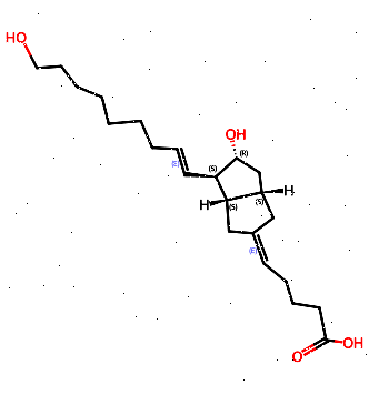 O=C(O)CCC/C=C1\C[C@H]2C[C@@H](O)[C@H](/C=C/CCCCCCCO)[C@H]2C1